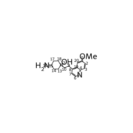 COc1ccc2nccc(CCC3(O)CCC(N)CC3)c2c1